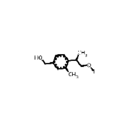 Cc1cc(CO)ccc1C(C)COI